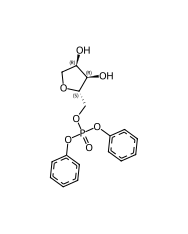 O=P(OC[C@@H]1OC[C@@H](O)[C@H]1O)(Oc1ccccc1)Oc1ccccc1